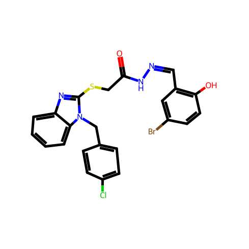 O=C(CSc1nc2ccccc2n1Cc1ccc(Cl)cc1)N/N=C\c1cc(Br)ccc1O